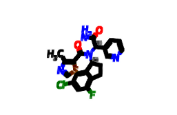 Cc1ncsc1C(=O)N([C@@H]1CCc2c(F)cc(Cl)cc21)[C@@H](C(N)=O)c1cccnc1